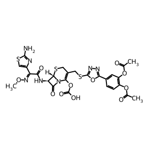 CON=C(C(=O)N[C@@H]1C(=O)N2C(OC(=O)O)=C(CSc3nnc(-c4ccc(OC(C)=O)c(OC(C)=O)c4)o3)CS[C@@H]12)c1csc(N)n1